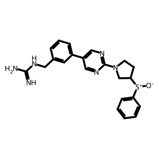 N=C(N)NCc1cccc(-c2cnc(N3CCC([S+]([O-])c4ccccc4)C3)nc2)c1